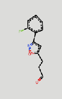 O=CCCc1cc(-c2ccccc2F)no1